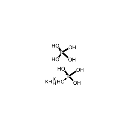 [KH].[KH].[OH][Ti]([OH])([OH])[OH].[OH][Ti]([OH])([OH])[OH]